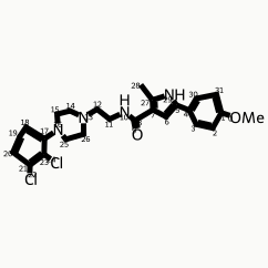 COc1ccc(-c2cc(C(=O)NCCN3CCN(c4cccc(Cl)c4Cl)CC3)c(C)[nH]2)cc1